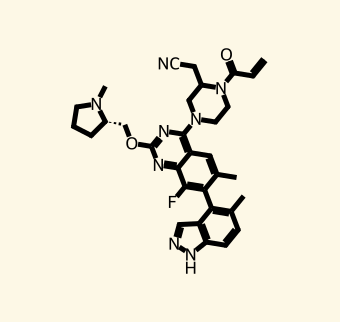 C=CC(=O)N1CCN(c2nc(OC[C@@H]3CCCN3C)nc3c(F)c(-c4c(C)ccc5[nH]ncc45)c(C)cc23)CC1CC#N